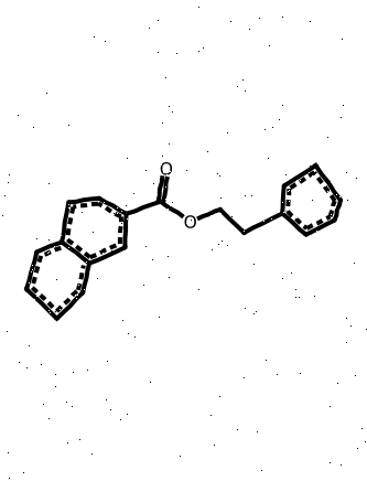 O=C(OCCc1ccccc1)c1ccc2ccccc2c1